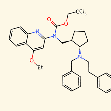 CCOc1cc(N(C[C@H]2CCC[C@H]2N(CCc2ccccc2)Cc2ccccc2)C(=O)OCC(Cl)(Cl)Cl)nc2ccccc12